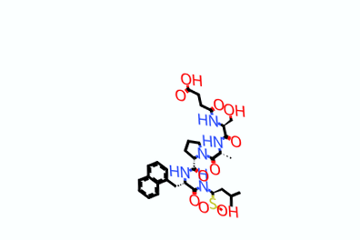 CC(C)C[C@H](NC(=O)[C@H](Cc1cccc2ccccc12)NC(=O)[C@@H]1CCCN1C(=O)[C@@H](C)NC(=O)[C@H](CO)NC(=O)CCC(=O)O)S(=O)O